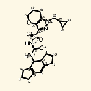 O=C(Nc1c2c(cc3c1CCC3)CCC2)NS(=O)(=O)c1nn(CC2CC2)c2c1OCCC2